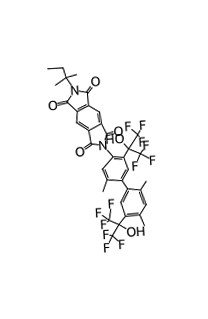 CCC(C)(C)n1c(=O)c2cc3c(=O)n(-c4cc(C)c(-c5cc(C(O)(C(F)(F)F)C(F)(F)F)c(C)cc5C)cc4C(O)(C(F)(F)F)C(F)(F)F)c(=O)c3cc2c1=O